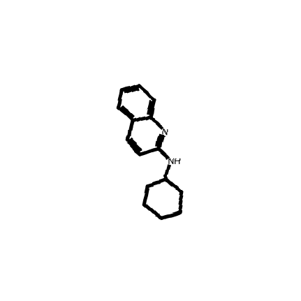 c1ccc2nc(NC3CCCCC3)ccc2c1